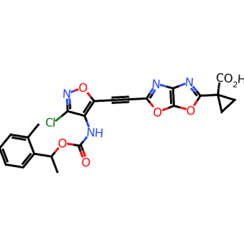 Cc1ccccc1C(C)OC(=O)Nc1c(Cl)noc1C#Cc1nc2nc(C3(C(=O)O)CC3)oc2o1